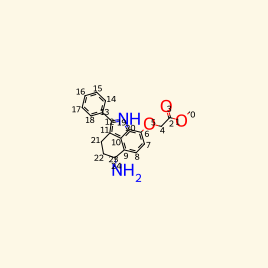 COC(=O)COc1ccc2c3c(c(-c4ccccc4)[nH]c13)CCC2N